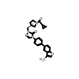 Cc1coc2ccc(-c3ccc(-n4cnn(C[C@H]5CCN(C(=O)C6CC6)C5)c4=O)cc3)cc12